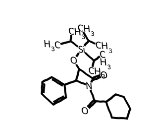 CC(C)[Si](OC1C(=O)N(C(=O)C2CCCCC2)C1c1ccccc1)(C(C)C)C(C)C